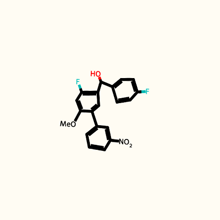 COc1cc(F)c(C(O)c2ccc(F)cc2)cc1-c1cccc([N+](=O)[O-])c1